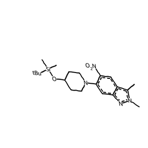 Cc1c2cc([N+](=O)[O-])c(N3CCC(O[Si](C)(C)C(C)(C)C)CC3)cc2nn1C